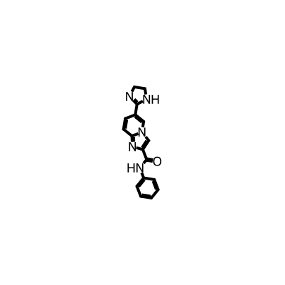 O=C(Nc1ccccc1)c1cn2cc(C3=NCCN3)ccc2n1